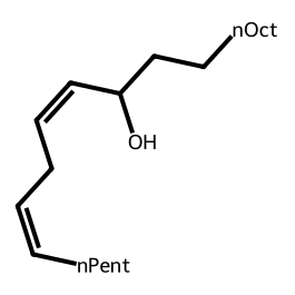 CCCCC/C=C\C/C=C\C(O)CCCCCCCCCC